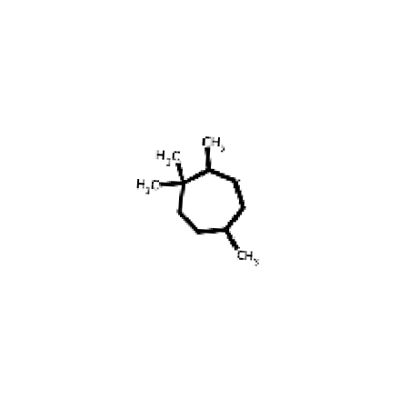 CC1C[CH]C(C)C(C)(C)CC1